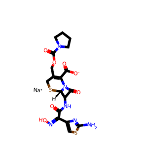 Nc1nc(/C(=N/O)C(=O)NC2C(=O)N3C(C(=O)[O-])=C(COC(=O)N4CCCC4)CS[C@@H]23)cs1.[Na+]